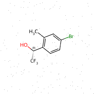 Cc1cc(Br)ccc1[C@@H](O)C(F)(F)F